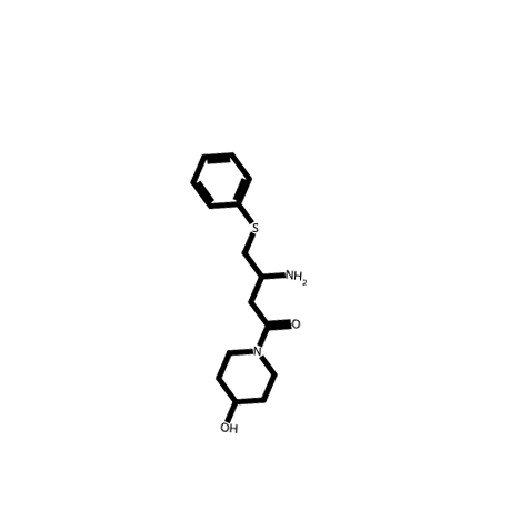 NC(CSc1ccccc1)CC(=O)N1CCC(O)CC1